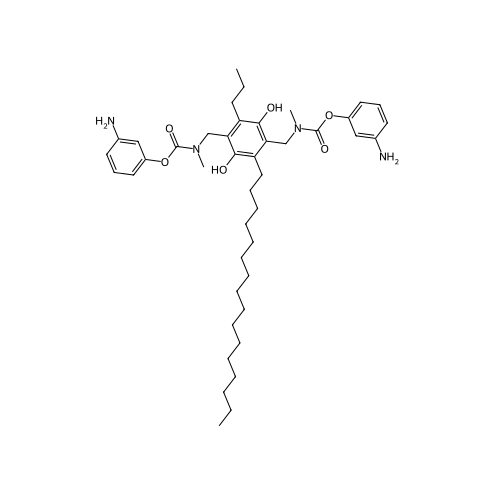 CCCCCCCCCCCCCCCCc1c(O)c(CN(C)C(=O)Oc2cccc(N)c2)c(CCC)c(O)c1CN(C)C(=O)Oc1cccc(N)c1